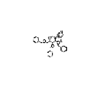 Clc1cncn1[C@@H]1COC(COCc2ccccc2)C(OCc2ccccc2)C1OCc1ccccc1